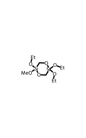 CCO[Si]1(OC)CO[Si](OCC)(OCC)CO1